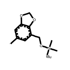 [CH2]c1cc(CO[Si](C)(C)C(C)(C)C)c2c(c1)OCO2